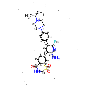 CC(C)N1CCN(c2ccc(-c3cc(-c4ccc5c(c4)S(=O)(=O)CNC5=O)c(N)nc3F)cc2)CC1